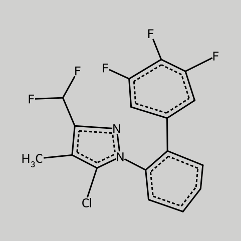 Cc1c(C(F)F)nn(-c2ccccc2-c2cc(F)c(F)c(F)c2)c1Cl